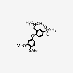 COc1cc(Oc2ccc(S(N)(=O)=O)cc2CN(C)C)ccc1SC